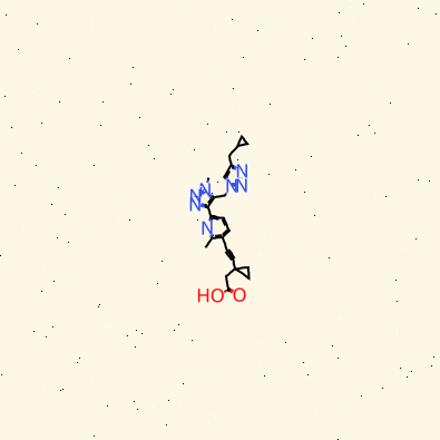 Cc1nc(-c2nnn(C)c2Cn2cc(CC3CC3)nn2)ccc1C#CC1(CC(=O)O)CC1